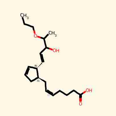 CCCOC(C)C(O)C=C[C@H]1C=CC[C@@H]1C/C=C\CCCC(=O)O